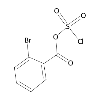 O=C(OS(=O)(=O)Cl)c1ccccc1Br